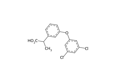 CC(C(=O)O)c1cccc(Oc2cc(Cl)cc(Cl)c2)c1